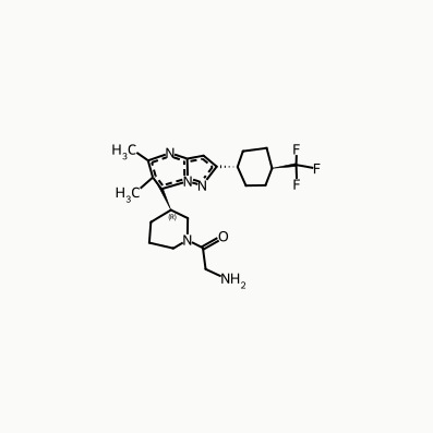 Cc1nc2cc([C@H]3CC[C@H](C(F)(F)F)CC3)nn2c([C@@H]2CCCN(C(=O)CN)C2)c1C